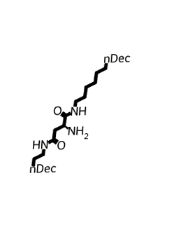 CCCCCCCCCCCCCCCCNC(=O)[C@@H](N)CC(=O)NCCCCCCCCCCCC